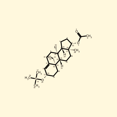 CC(=O)O[C@H]1CC[C@H]2[C@@H]3CCC4=C[C@@H](O[Si](C)(C)C)CC[C@]4(CO)[C@H]3CC[C@]12C